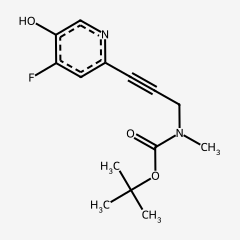 CN(CC#Cc1cc(F)c(O)cn1)C(=O)OC(C)(C)C